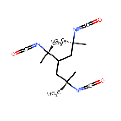 C[C@@](CC(C[C@](C)(N=C=O)C(=O)O)[C@](C)(N=C=O)C(=O)O)(N=C=O)C(=O)O